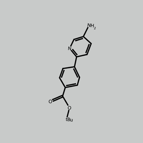 CC(C)(C)OC(=O)c1ccc(-c2ccc(N)cn2)cc1